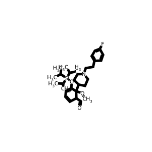 COC1(C2CCN(CCc3ccc(F)cc3)CC2)C(O[Si](C(C)C)(C(C)C)C(C)C)=CC=CC1C=O